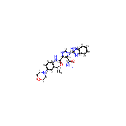 Cc1cc(N2CCOCC2)ccc1NC(=O)c1ncn(-c2nc3ccccc3[nH]2)c1C(N)=O